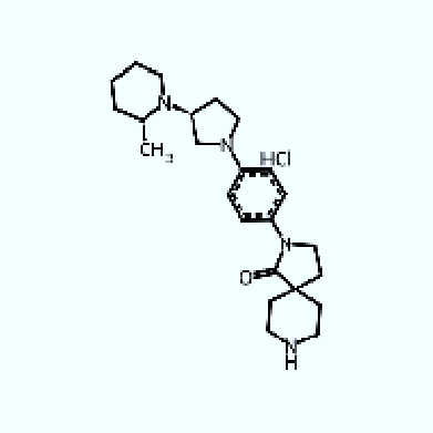 C[C@H]1CCCCN1[C@H]1CCN(c2ccc(N3CCC4(CCNCC4)C3=O)cc2)C1.Cl